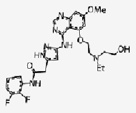 CCN(CCO)CCOc1cc(OC)cc2ncnc(Nc3cc(CC(=O)Nc4cccc(F)c4F)[nH]n3)c12